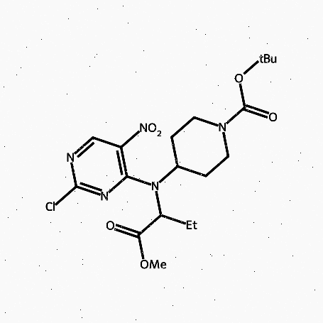 CCC(C(=O)OC)N(c1nc(Cl)ncc1[N+](=O)[O-])C1CCN(C(=O)OC(C)(C)C)CC1